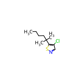 CCCCC(C)(C)c1sncc1Cl